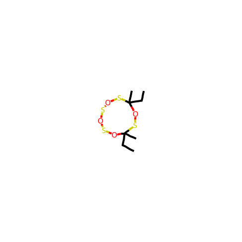 CCC1(C)OSOSOSC(C)(CC)OS1